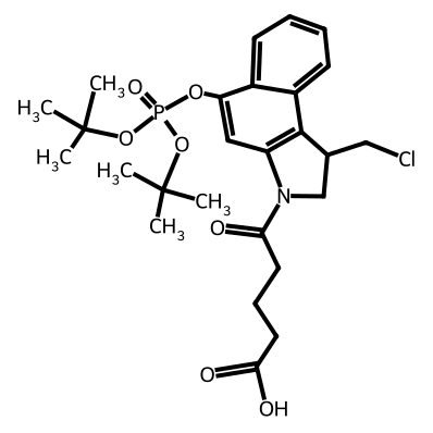 CC(C)(C)OP(=O)(Oc1cc2c(c3ccccc13)C(CCl)CN2C(=O)CCCC(=O)O)OC(C)(C)C